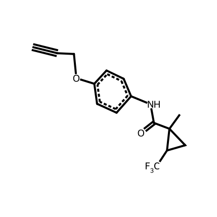 C#CCOc1ccc(NC(=O)C2(C)CC2C(F)(F)F)cc1